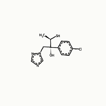 C[C@@H](S)[C@](O)(Cn1cncn1)c1ccc(Cl)cc1